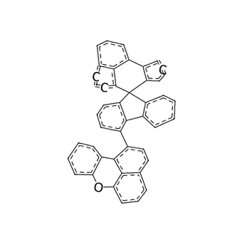 c1ccc2c(c1)Oc1cccc3ccc(-c4cccc5c4-c4ccccc4C54c5ccccc5-c5cccc6cccc4c56)c-2c13